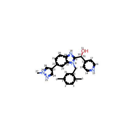 Cc1ccc(C)c(Cn2c([C@@H](O)c3ccncc3)nc3ccc(-c4cnn(C)c4)cc32)c1